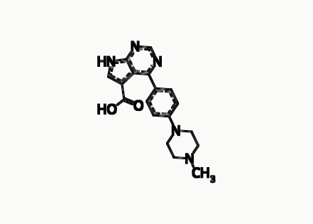 CN1CCN(c2ccc(-c3ncnc4[nH]cc(C(=O)O)c34)cc2)CC1